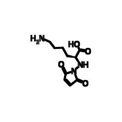 NCCCC[C@H](NN1C(=O)C=CC1=O)C(=O)O